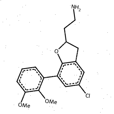 COc1cccc(-c2cc(Cl)cc3c2OC(CCN)C3)c1OC